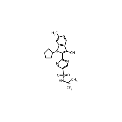 Cc1ccc2c(C#N)c(-c3ncc(S(=O)(=O)N[C@H](C)C(F)(F)F)cn3)n(C3CCCC3)c2c1